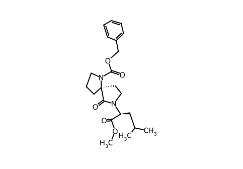 COC(=O)[C@H](CC(C)C)N1CC[C@@]2(CCCN2C(=O)OCc2ccccc2)C1=O